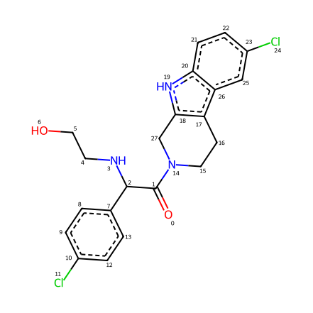 O=C(C(NCCO)c1ccc(Cl)cc1)N1CCc2c([nH]c3ccc(Cl)cc23)C1